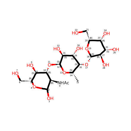 CC(=O)N[C@H]1C(O)O[C@H](CO)[C@@H](O)[C@@H]1O[C@@H]1O[C@@H](C)[C@@H](O[C@@H]2O[C@H](CO)[C@H](O)[C@H](O)[C@H]2O)[C@@H](O)[C@@H]1O